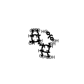 CC/C(=C(/CC)c1ccc(O)cc1)c1ccc(O)cc1.CC1=C(CCC(=O)O)c2cc3[nH]c(cc4nc(cc5[nH]c(cc1n2)c(C)c5C(C)OC(C)C1=C(C)c2cc5[nH]c(cc6nc(cc7[nH]c(cc1n2)c(C)c7CCC(=O)O)C(CCC(=O)O)=C6C)c(C)c5C(C)O)C(C)=C4C(C)O)c(C)c3CCC(=O)O